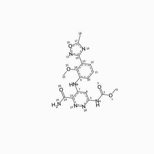 COC(=O)Nc1cc(Nc2cccc(-c3noc(C)n3)c2OC)c(C(N)=O)nn1